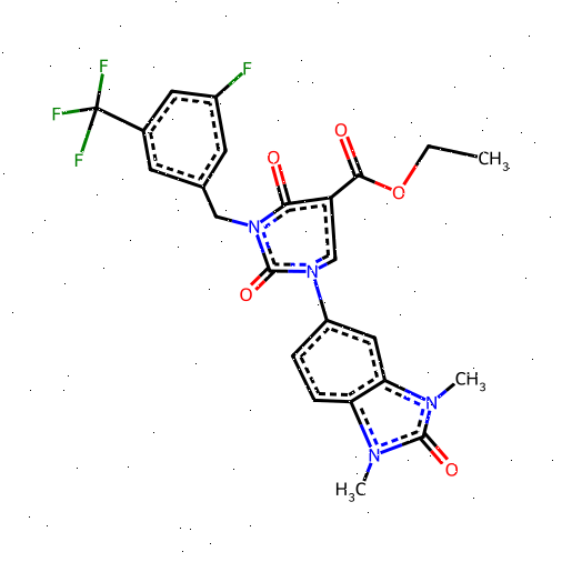 CCOC(=O)c1cn(-c2ccc3c(c2)n(C)c(=O)n3C)c(=O)n(Cc2cc(F)cc(C(F)(F)F)c2)c1=O